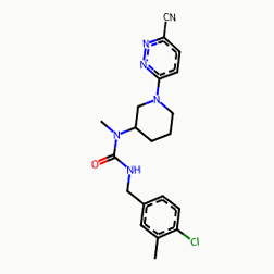 Cc1cc(CNC(=O)N(C)C2CCCN(c3ccc(C#N)nn3)C2)ccc1Cl